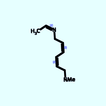 C/C=N\C/C=C\C=C/CNC